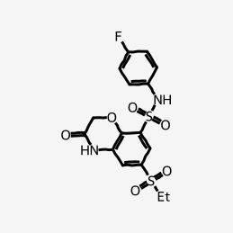 CCS(=O)(=O)c1cc2c(c(S(=O)(=O)Nc3ccc(F)cc3)c1)OCC(=O)N2